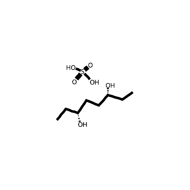 CC[C@@H](O)CC[C@H](O)CC.O=S(=O)(O)O